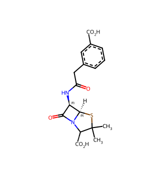 CC1(C)S[C@@H]2[C@H](NC(=O)Cc3cccc(C(=O)O)c3)C(=O)N2C1C(=O)O